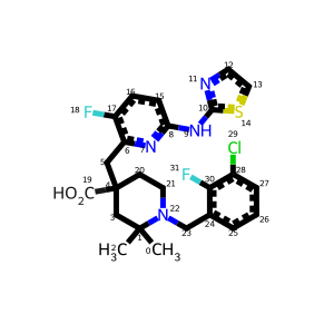 CC1(C)CC(Cc2nc(Nc3nccs3)ccc2F)(C(=O)O)CCN1Cc1cccc(Cl)c1F